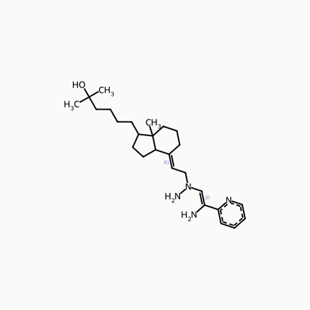 CC(C)(O)CCCCC1CCC2/C(=C/CN(N)/C=C(\N)c3ccccn3)CCCC12C